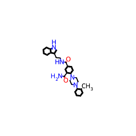 Cc1ccccc1N1CCN(c2ccc(C(=O)NCCc3c[nH]c4ccccc34)cc2C(N)=O)CC1